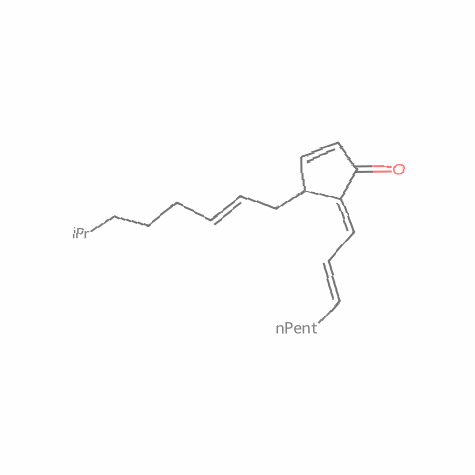 CCCCC/C=C/C=C1/C(=O)C=CC1C/C=C/CCCC(C)C